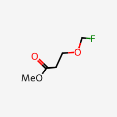 COC(=O)CCOCF